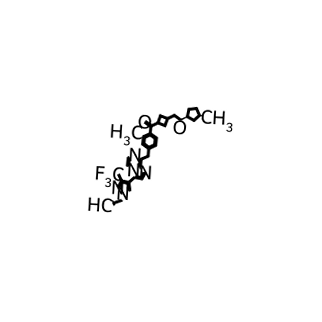 C#CCn1cc(-c2cnc3c(Cc4ccc(C(=O)C5CC(CC(=O)[C@H]6CC[C@H](C)C6)C5)c(C)c4)nccn23)c(C(F)(F)F)n1